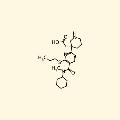 CCCSc1nc([C@]2(CC(=O)O)CCCNC2)ccc1C(=O)N(C)C1CCCCC1